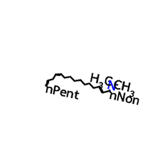 CCCCC/C=C\C/C=C\CCCCCCC/C=C/C(CCCCCCCCC)N(C)C